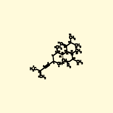 C=C(C)C#CC(O)C[C@@H](C)[C@@H](C)[C@@H](C(=O)C(C)C)N(C)C(C)C